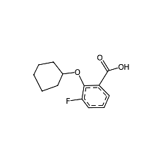 O=C(O)c1cccc(F)c1OC1CCCCC1